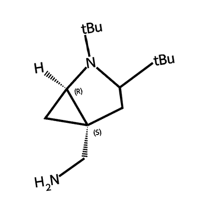 CC(C)(C)C1C[C@@]2(CN)C[C@H]2N1C(C)(C)C